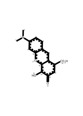 CN(C)c1ccc2cc3c(C(=O)O)cc(=O)c(O)c-3oc2c1